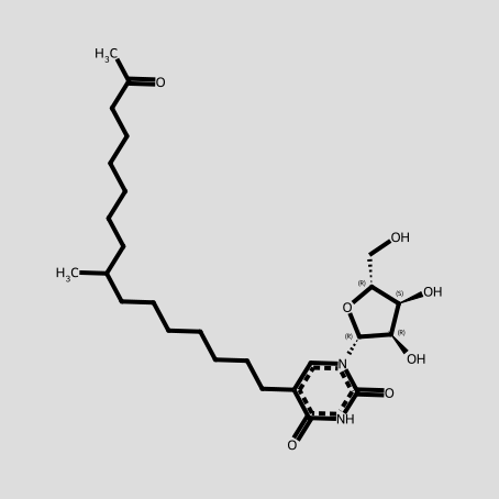 CC(=O)CCCCCCC(C)CCCCCCCc1cn([C@@H]2O[C@H](CO)[C@@H](O)[C@H]2O)c(=O)[nH]c1=O